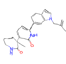 C=C(C)Cn1ccc2ccc(-c3ccc(C4(C)CCCNC4=O)c(=O)[nH]3)cc21